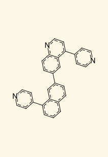 c1cc(-c2ccncc2)c2cc(-c3ccc4nccc(-c5ccncc5)c4c3)ccc2c1